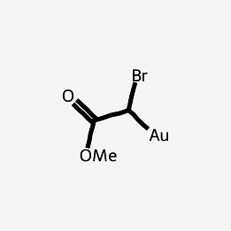 COC(=O)[CH](Br)[Au]